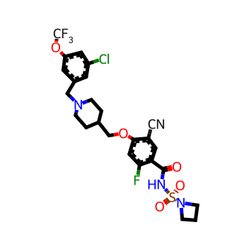 N#Cc1cc(C(=O)NS(=O)(=O)N2CCC2)c(F)cc1OCC1CCN(Cc2cc(Cl)cc(OC(F)(F)F)c2)CC1